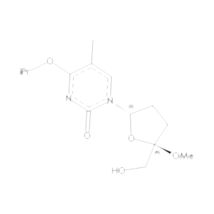 CO[C@]1(CO)CC[C@@H](n2cc(C)c(OC(C)C)nc2=O)O1